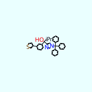 CC(C)C(O)(c1cccc(-c2ccsc2)c1)c1cn(C(c2ccccc2)(c2ccccc2)c2ccccc2)cn1